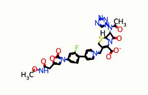 CONC(=O)Cc1cn(-c2ccc(-c3cc[n+](CC4=C(C(=O)[O-])N5C(=O)[C@@H](N(C(C)=O)n6cnnn6)[C@@H]5SC4)cc3)c(F)c2)c(=O)o1